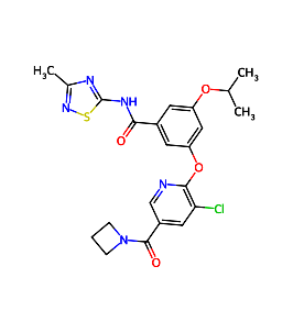 Cc1nsc(NC(=O)c2cc(Oc3ncc(C(=O)N4CCC4)cc3Cl)cc(OC(C)C)c2)n1